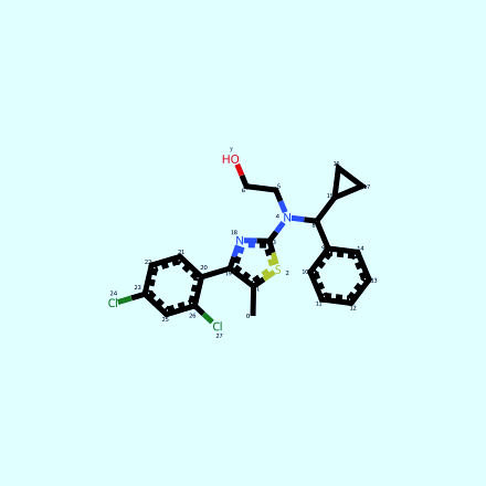 Cc1sc(N(CCO)C(c2ccccc2)C2CC2)nc1-c1ccc(Cl)cc1Cl